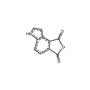 O=C1OC(=O)c2c1ccc1[nH]ccc21